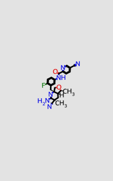 C[C@@H]1OC[C@@]2(Cc3cc(NC(=O)c4ccc(C#N)cn4)ccc3F)N=C(N)[C@](C)(C#N)C[C@@H]12